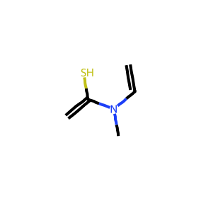 C=CN(C)C(=C)S